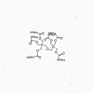 CCCCCCC(=O)OCC(COCC(COC(=O)CCCCCC)(COC(=O)CCCCCC)COC(=O)CCCCCC)(COC(=O)CCCCCC)COC(=O)CCCCCC